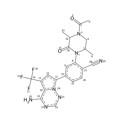 CC(=O)N1CC(C)N(c2cc(-c3cc(C(F)(F)F)c4c(N)ncnn34)ccc2C#N)C(=O)C1C